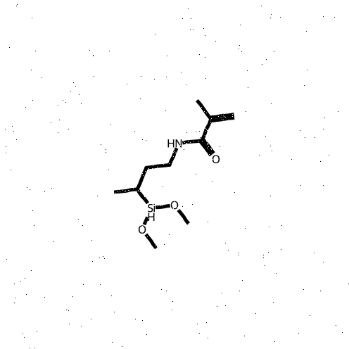 C=C(C)C(=O)NCCC(C)[SiH](OC)OC